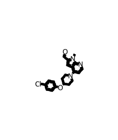 Cn1c(C=O)cc2c(N3CCC(Oc4ccc(Cl)cc4)CC3)ccnc21